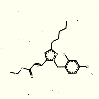 CCCCOc1cc(/C=C/C(=O)OCC)n(Cc2ccc(Cl)cc2Cl)n1